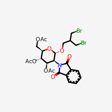 CC(=O)OC[C@H]1O[C@H](OCC(CBr)CBr)[C@@H](N2C(=O)c3ccccc3C2=O)[C@@H](OC(C)=O)[C@@H]1OC(C)=O